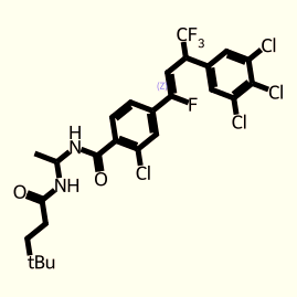 CC(NC(=O)CCC(C)(C)C)NC(=O)c1ccc(/C(F)=C/C(c2cc(Cl)c(Cl)c(Cl)c2)C(F)(F)F)cc1Cl